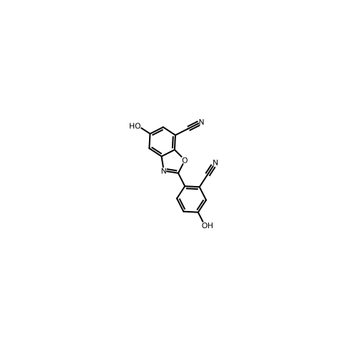 N#Cc1cc(O)ccc1-c1nc2cc(O)cc(C#N)c2o1